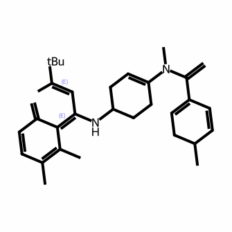 C=C(C1=CCC(C)C=C1)N(C)C1=CCC(NC(/C=C(\C)C(C)(C)C)=c2\c(C)c(C)ccc2=C)CC1